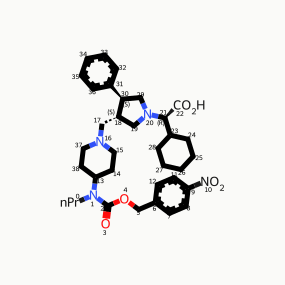 CCCN(C(=O)OCc1ccc([N+](=O)[O-])cc1)C1CCN(C[C@H]2CN([C@@H](C(=O)O)C3CCCCC3)C[C@@H]2c2ccccc2)CC1